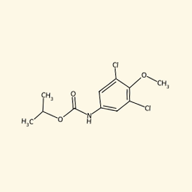 COc1c(Cl)cc(NC(=O)OC(C)C)cc1Cl